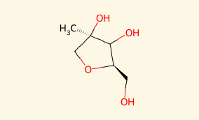 C[C@@]1(O)CO[C@H](CO)C1O